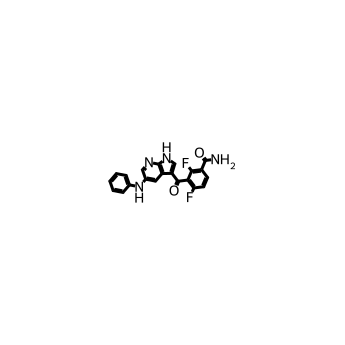 NC(=O)c1ccc(F)c(C(=O)c2c[nH]c3ncc(Nc4ccccc4)cc23)c1F